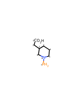 O=C(O)CC1CCCN(P)C1